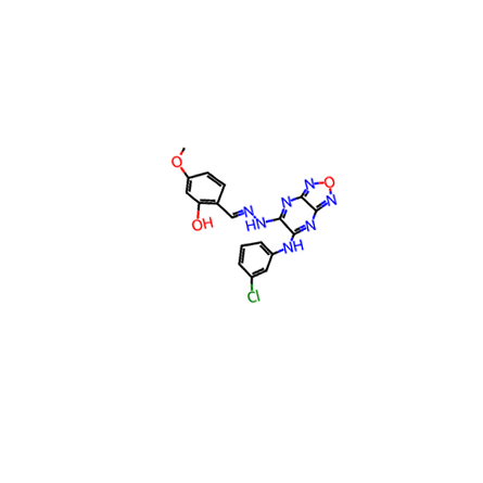 COc1ccc(C=NNc2nc3nonc3nc2Nc2cccc(Cl)c2)c(O)c1